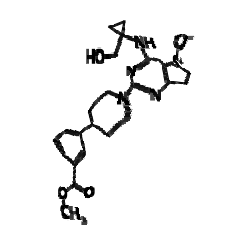 COC(=O)c1cccc(C2CCN(c3nc4c(c(NC5(CO)CC5)n3)[S+]([O-])CC4)CC2)c1